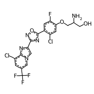 NC(CO)COc1cc(Cl)c(-c2nc(-c3cn4cc(C(F)(F)F)cc(Cl)c4n3)no2)cc1F